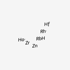 [Hf].[Ho].[RbH].[Rh].[Zn].[Zr]